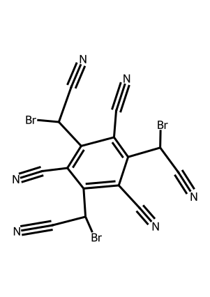 N#Cc1c(C(Br)C#N)c(C#N)c(C(Br)C#N)c(C#N)c1C(Br)C#N